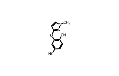 Cn1[c]cc(Oc2cc(C#N)ccc2C#N)n1